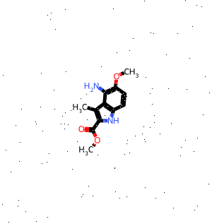 COC(=O)c1[nH]c2ccc(OC)c(N)c2c1C